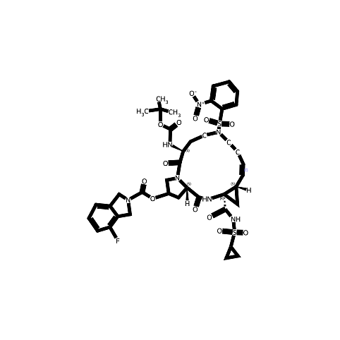 CC(C)(C)OC(=O)N[C@H]1CCN(S(=O)(=O)c2ccccc2[N+](=O)[O-])CC/C=C\[C@@H]2C[C@@]2(C(=O)NS(=O)(=O)C2CC2)NC(=O)[C@@H]2CC(OC(=O)N3Cc4cccc(F)c4C3)CN2C1=O